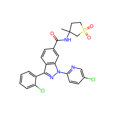 CC1(NC(=O)c2ccc3c(-c4ccccc4Cl)nn(-c4ccc(Cl)cn4)c3c2)CCS(=O)(=O)C1